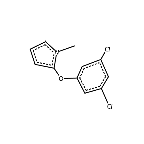 Cn1[c]ccc1Oc1cc(Cl)cc(Cl)c1